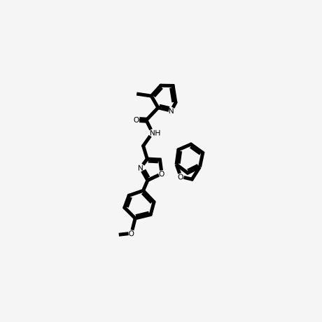 COc1ccc(-c2nc(CNC(=O)c3ncccc3C)co2)cc1.c1cc2cc(c1)OC2